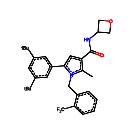 Cc1c(C(=O)NC2COC2)cc(-c2cc(C(C)(C)C)cc(C(C)(C)C)c2)n1Cc1ccccc1C(F)(F)F